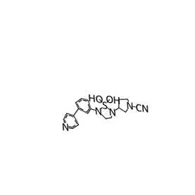 N#CN1CCC(N2CCN(c3cccc(-c4ccncc4)c3)S2(O)O)C1